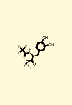 COC(=O)[C@H](Cc1ccc(O)c(O)c1)NC(=O)C(F)(F)F